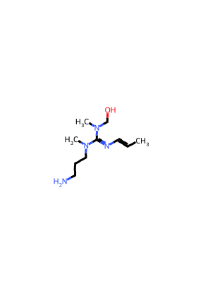 C/C=C/N=C(\N(C)CO)N(C)CCCN